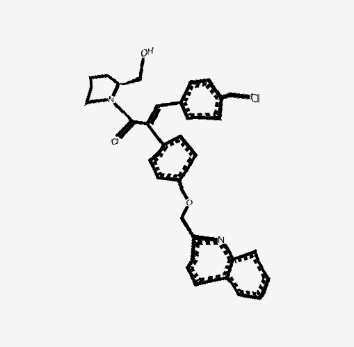 O=C(/C(=C/c1ccc(Cl)cc1)c1ccc(OCc2ccc3ccccc3n2)cc1)N1CCC[C@H]1CO